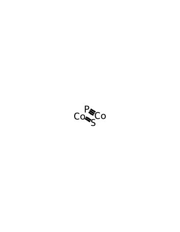 [P]#[Co].[S]=[Co]